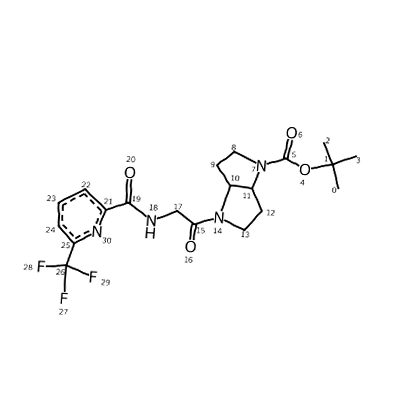 CC(C)(C)OC(=O)N1CCC2C1CCN2C(=O)CNC(=O)c1cccc(C(F)(F)F)n1